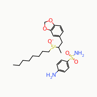 CCCCCCCC[S+]([O-])C(C)Cc1ccc2c(c1)OCO2.Nc1ccc(S(N)(=O)=O)cc1